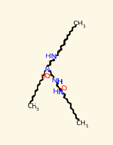 CCCCCCCCCCCCCCNCCCCN(CCCCCCCCCCCCCC)CC(O)CNCCC(=O)NCCCCCCCCCCCC